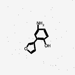 Nc1ccc(O)c(-c2ccoc2)c1